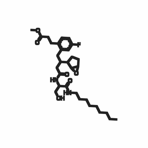 CCCCCCCCCNC(=O)C(CO)NC(=O)CC(Cc1cc(F)ccc1CCC(=O)OC)C1CCC2OC21